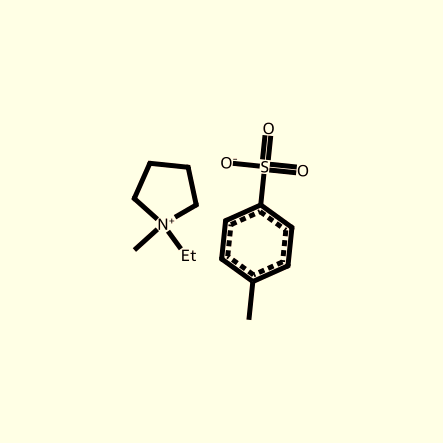 CC[N+]1(C)CCCC1.Cc1ccc(S(=O)(=O)[O-])cc1